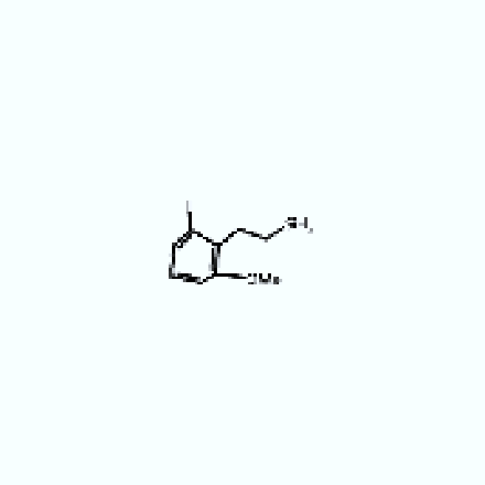 COc1cccc(I)c1CC[SiH3]